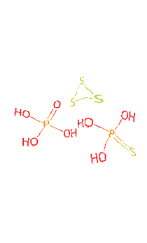 O=P(O)(O)O.OP(O)(O)=S.s1ss1